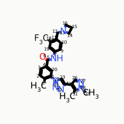 Cc1ccc(C(=O)Nc2ccc(CN3CCC3)c(C(F)(F)F)c2)cc1-n1cc(-c2cnn(C)c2C)nn1